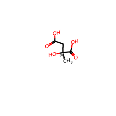 C[C@@](O)(CC(=O)O)C(=O)O